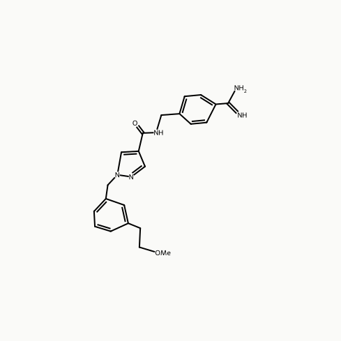 COCCc1cccc(Cn2cc(C(=O)NCc3ccc(C(=N)N)cc3)cn2)c1